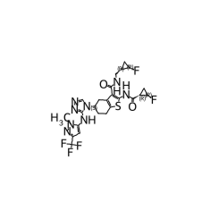 Cn1nc(C(F)(F)F)cc1Nc1nncn1[C@H]1CCc2sc(NC(=O)[C@H]3C[C@H]3F)c(C(=O)NC[C@H]3C[C@H]3F)c2C1